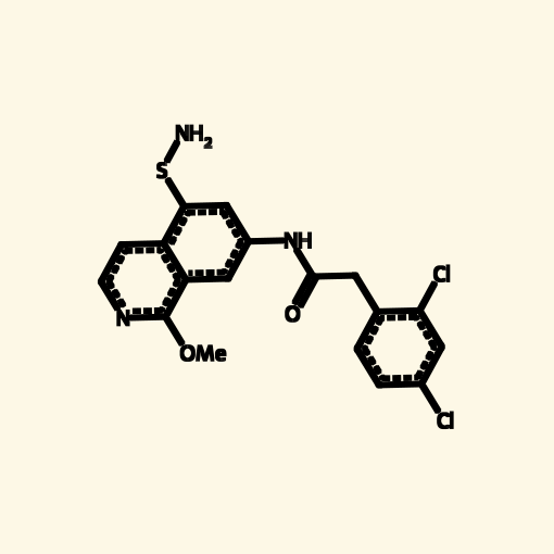 COc1nccc2c(SN)cc(NC(=O)Cc3ccc(Cl)cc3Cl)cc12